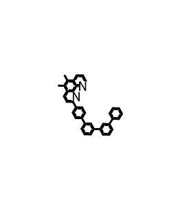 Cc1c(C)c2ccc(-c3ccc(-c4cccc(-c5cccc(-c6ccccc6)c5)c4)cc3)nc2c2ncccc12